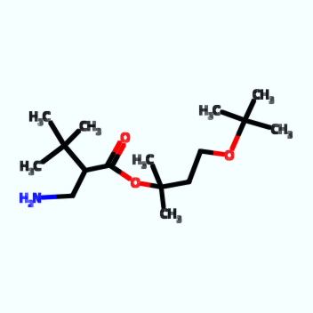 CC(C)(C)OCCC(C)(C)OC(=O)C(CN)C(C)(C)C